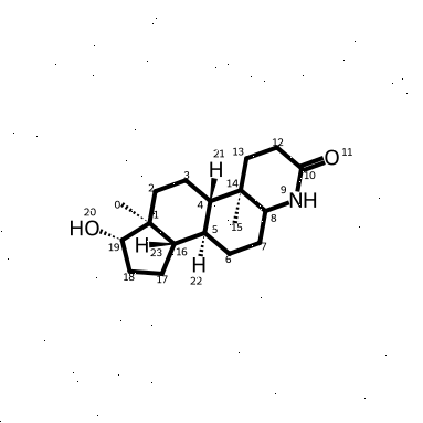 C[C@]12CC[C@H]3[C@@H](CCC4NC(=O)CC[C@@]43C)[C@@H]1CC[C@@H]2O